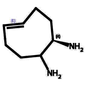 NC1CC/C=C/CC[C@H]1N